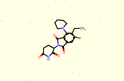 CCc1c(F)cc2c(c1N1CCCCC1)C(=O)N(C1CCC(=O)NC1=O)C2=O